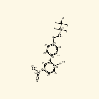 CC(C)(C)[Si](C)(C)OCc1ccc(-c2cc([N+](=O)[O-])ccc2F)cc1